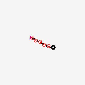 IOCCOCCOCCOCCOCc1ccccc1